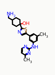 Cc1cc(Nc2nccc(C)n2)cc(-c2cnc(C3(O)CCC(CN)CC3)s2)c1